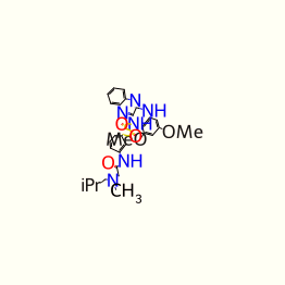 COc1cc(Nc2nc3ccccc3nc2NS(=O)(=O)c2cccc(NC(=O)CN(C)CC(C)C)c2)cc(OC)c1